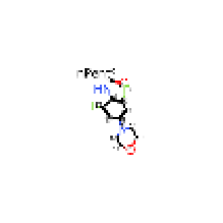 CCCCCC(=O)Nc1c(F)cc(N2CCOCC2)cc1F